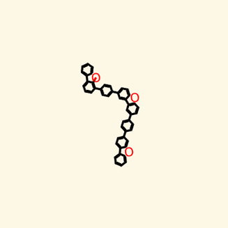 c1ccc2c(c1)oc1cc(-c3ccc(-c4ccc5oc6ccc(-c7ccc(-c8cccc9c8oc8ccccc89)cc7)cc6c5c4)cc3)ccc12